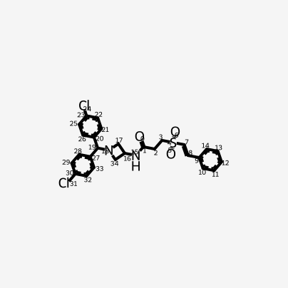 O=C(CCS(=O)(=O)C=Cc1ccccc1)NC1CN(C(c2ccc(Cl)cc2)c2ccc(Cl)cc2)C1